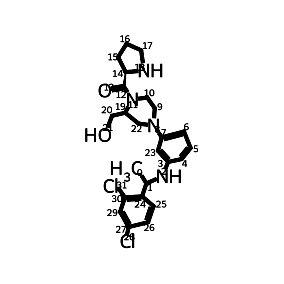 CC(Nc1cccc(N2CCN(C(=O)[C@H]3CCCN3)C(CO)C2)c1)c1ccc(Cl)cc1Cl